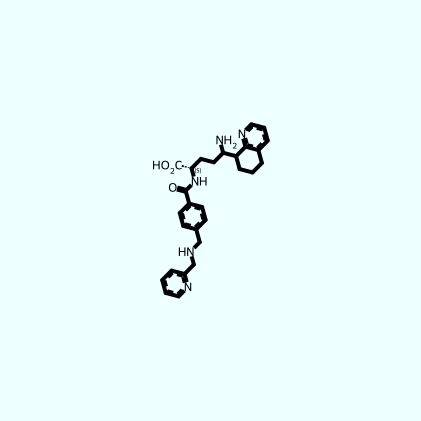 NC(CC[C@H](NC(=O)c1ccc(CNCc2ccccn2)cc1)C(=O)O)C1CCCc2cccnc21